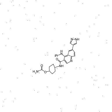 CC(C)Nc1c(C(=O)NC2CCC(OC(N)=O)CC2)cnc2ccc(-c3cn[nH]c3)cc12